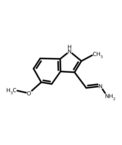 COc1ccc2[nH]c(C)c(C=NN)c2c1